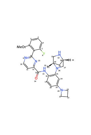 COc1cccc(F)c1-c1nccc(C(=O)Nc2ccc(N3CCC3)cc2N2C[C@@H]3C[C@H]2CN3)n1